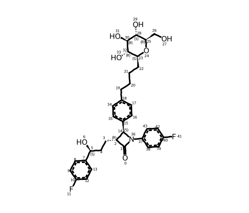 O=C1[C@H](CC[C@H](O)c2ccc(F)cc2)[C@@H](c2ccc(CCCC[C@@H]3O[C@H](CO)[C@@H](O)[C@H](O)[C@H]3O)cc2)N1c1ccc(F)cc1